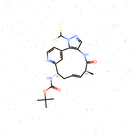 C[C@H]1/C=C/C[C@H](NC(=O)OC(C)(C)C)c2cc(ccn2)-c2c(cnn2C(F)F)NC1=O